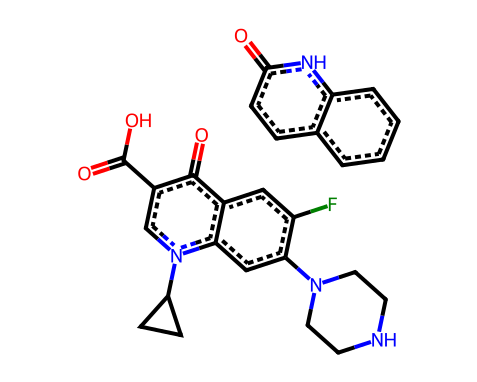 O=C(O)c1cn(C2CC2)c2cc(N3CCNCC3)c(F)cc2c1=O.O=c1ccc2ccccc2[nH]1